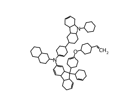 C=CC1CCC(OC2=CCC(C3(C4C=CCCC4)C4C=C(N(C5=CCC(C6CCC7C(C6)C6CC=CCC6N7C6CCCCC6)CC5)C5CCC6CCCCC6C5)C=CC4C4CCC=CC43)CC2)CC1